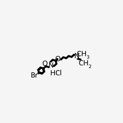 C=CCN(C)CCCCCCOC1CCN(CC(=O)c2ccc(Br)cc2)CC1.Cl